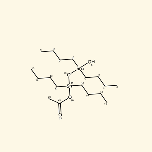 CCC[CH2][Sn]([OH])([CH2]CCC)[O][Sn]([CH2]CCC)([CH2]CCC)[O]C(C)=O